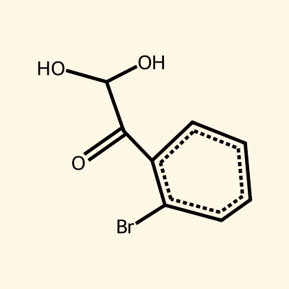 O=C(c1ccccc1Br)C(O)O